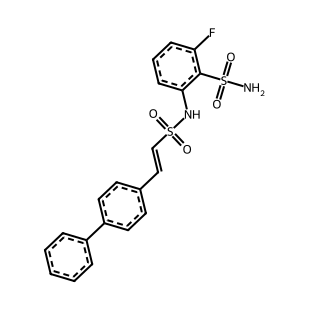 NS(=O)(=O)c1c(F)cccc1NS(=O)(=O)C=Cc1ccc(-c2ccccc2)cc1